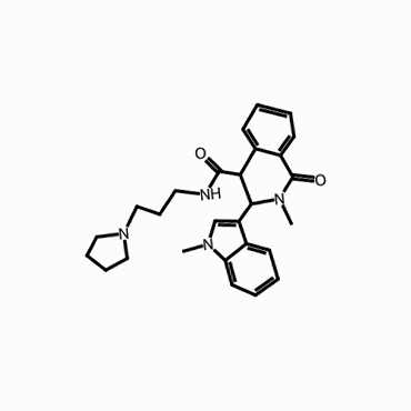 CN1C(=O)c2ccccc2C(C(=O)NCCCN2CCCC2)C1c1cn(C)c2ccccc12